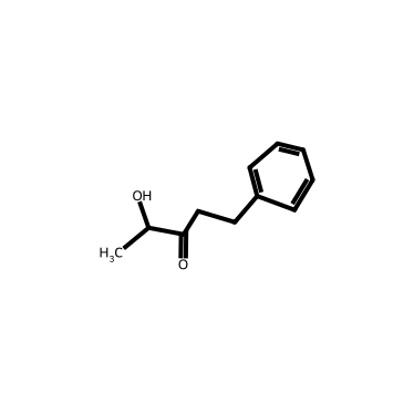 CC(O)C(=O)CCc1ccccc1